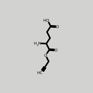 C#CCOC(=O)C(N)CCC(=O)O